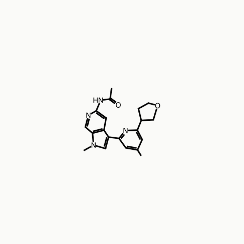 CC(=O)Nc1cc2c(-c3cc(C)cc(C4CCOC4)n3)cn(C)c2cn1